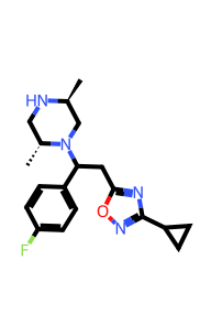 C[C@@H]1CN[C@@H](C)CN1C(Cc1nc(C2CC2)no1)c1ccc(F)cc1